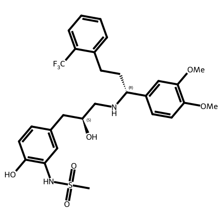 COc1ccc([C@@H](CCc2ccccc2C(F)(F)F)NC[C@@H](O)Cc2ccc(O)c(NS(C)(=O)=O)c2)cc1OC